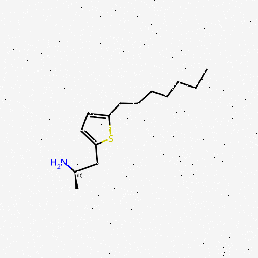 CCCCCCCc1ccc(C[C@@H](C)N)s1